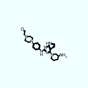 NC1CCCN(c2nc(Nc3ccc(N4CCN(CC=O)CC4)cc3)nc3[nH]ccc23)C1